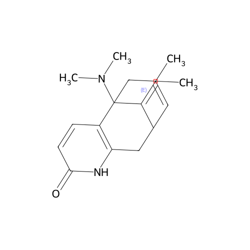 C/C=C1\C2C=C(C)CC1(N(C)C)c1ccc(=O)[nH]c1C2